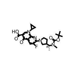 C[C@H](C1CCN(c2nc3c(cc2F)c(=O)c(C(=O)O)cn3C2CC2)C1)N(C)C(=O)OC(C)(C)C